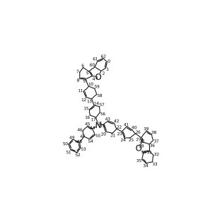 C1=CC2OC3=C(CCC=C3C3C=CC(C4=CCC(N(C5=CCC(C6=CCC(C7=C8OC9=C(CCC=C9)C8CC=C7)C=C6)C=C5)C5=CCC(c6ccccc6)C=C5)CC4)CC3)C2C=C1